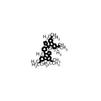 CC(C)(C)c1ccc2c(c1)-c1cc(C(C)(C)C)ccc1C2C(C)(c1cccc(C(C)(C2C=CC=C2)C2c3ccc(C(C)(C)C)cc3-c3cc(C(C)(C)C)ccc32)c1)C1C=CC=C1